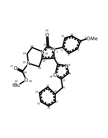 COc1ccc(-n2c(-c3ncc(Cc4ccccc4)o3)c3n(c2=O)CCN(C(=O)OC(C)(C)C)C3)cc1